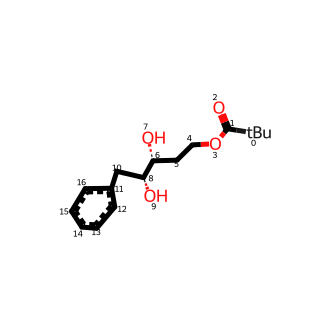 CC(C)(C)C(=O)OCC[C@@H](O)[C@H](O)Cc1ccccc1